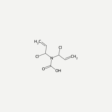 C=CC(Cl)N(C(=O)O)C(Cl)C=C